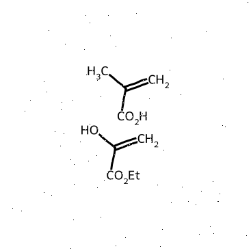 C=C(C)C(=O)O.C=C(O)C(=O)OCC